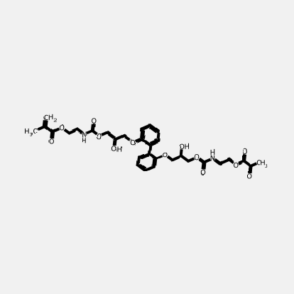 C=C(C)C(=O)OCCNC(=O)OCC(O)COc1ccccc1-c1ccccc1OCC(O)COC(=O)NCCOC(=O)C(C)=O